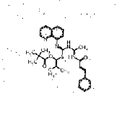 CC(NC(=O)/C=C/c1ccccc1)N/C(=N\c1cccc2cccnc12)SC(OC(=O)C(C)(C)C)C(C)C